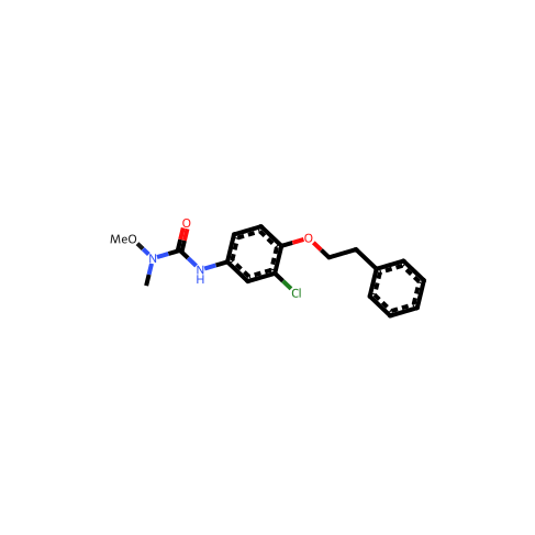 CON(C)C(=O)Nc1ccc(OCCc2ccccc2)c(Cl)c1